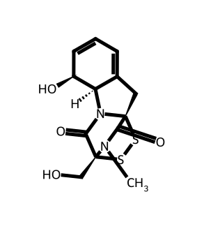 CN1C(=O)[C@]23CC4=CC=C[C@H](O)[C@@H]4N2C(=O)[C@@]1(CO)SS3